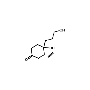 C=C.O=C1CCC(O)(CCCO)CC1